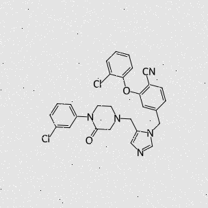 N#Cc1ccc(Cn2cncc2CN2CCN(c3cccc(Cl)c3)C(=O)C2)cc1Oc1ccccc1Cl